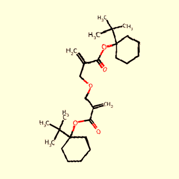 C=C(COCC(=C)C(=O)OC1(C(C)(C)C)CCCCC1)C(=O)OC1(C(C)(C)C)CCCCC1